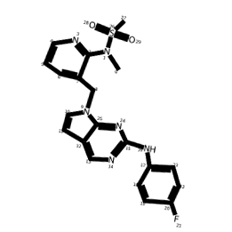 CN(c1ncccc1Cn1ccc2cnc(Nc3ccc(F)cc3)nc21)S(C)(=O)=O